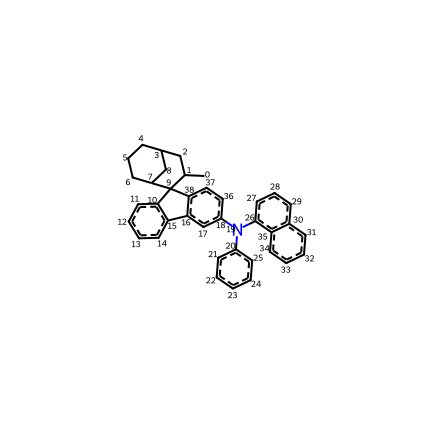 CC1CC2CCCC(C2)C12c1ccccc1-c1cc(N(c3ccccc3)c3cccc4ccccc34)ccc12